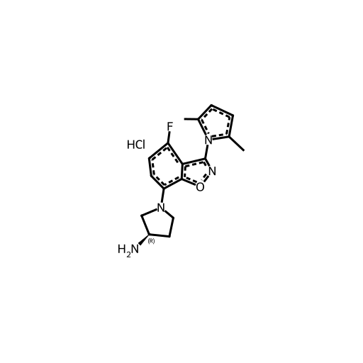 Cc1ccc(C)n1-c1noc2c(N3CC[C@@H](N)C3)ccc(F)c12.Cl